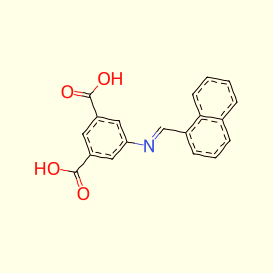 O=C(O)c1cc(N=Cc2cccc3ccccc23)cc(C(=O)O)c1